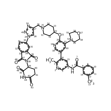 Cc1ncc(NC(=O)c2cccc(C(F)(F)F)c2)cc1-c1cnc(OC2CCN(Cc3cn(-c4ccc5c(c4)C(=O)N(C4CCC(=O)NC4=O)C5=O)nn3)CC2)c(N2CCOCC2)c1